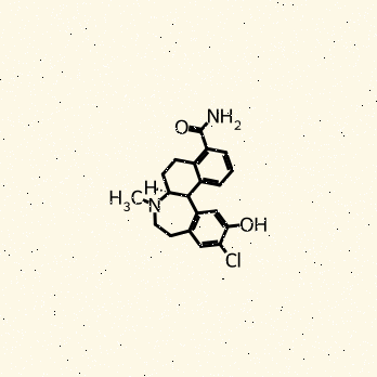 CN1CCc2cc(Cl)c(O)cc2C2c3cccc(C(N)=O)c3CC[C@@H]21